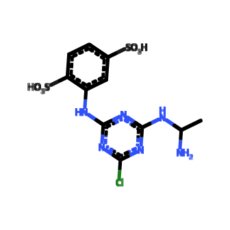 CC(N)Nc1nc(Cl)nc(Nc2cc(S(=O)(=O)O)ccc2S(=O)(=O)O)n1